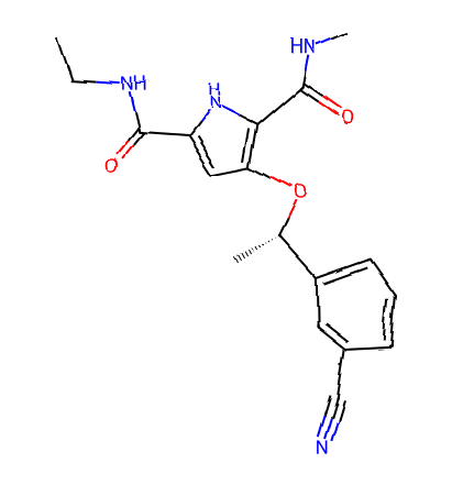 CCNC(=O)c1cc(O[C@@H](C)c2cccc(C#N)c2)c(C(=O)NC)[nH]1